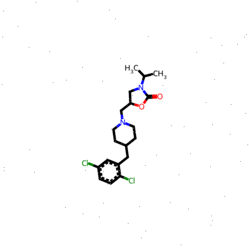 CC(C)N1CC(CN2CCC(Cc3cc(Cl)ccc3Cl)CC2)OC1=O